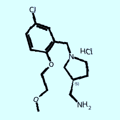 COCCOc1ccc(Cl)cc1CN1CC[C@@H](CN)C1.Cl